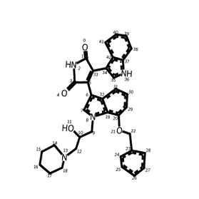 O=C1NC(=O)C(c2cn(CC(O)CN3CCCCC3)c3c(OCc4ccccc4)cccc23)=C1c1c[nH]c2ccccc12